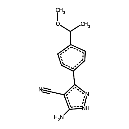 COC(C)c1ccc(-c2n[nH]c(N)c2C#N)cc1